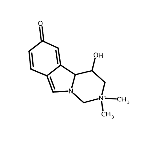 C[N+]1(C)CC(O)C2C3=CC(=O)C=CC3=CN2C1